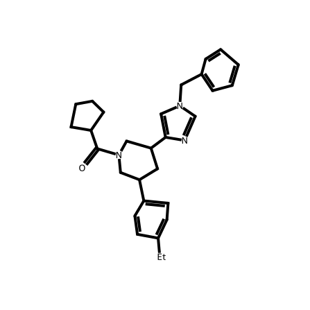 CCc1ccc(C2CC(c3cn(Cc4ccccc4)cn3)CN(C(=O)C3CCCC3)C2)cc1